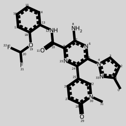 Cc1ccn(-c2nc(N)c(C(=O)Nc3ccccc3OC(F)F)nc2-c2ccc(=O)n(C)c2)n1